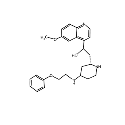 COc1ccc2nccc(C(O)C[C@H]3CC(NCCOc4ccccc4)CCN3)c2c1